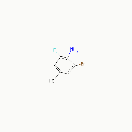 Cc1cc(F)c(N)c(Br)c1